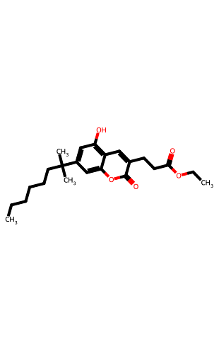 CCCCCCC(C)(C)c1cc(O)c2cc(CCC(=O)OCC)c(=O)oc2c1